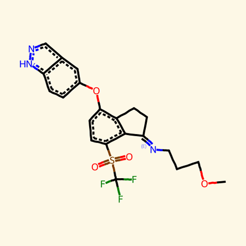 COCCC/N=C1\CCc2c(Oc3ccc4[nH]ncc4c3)ccc(S(=O)(=O)C(F)(F)F)c21